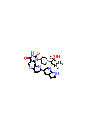 C=C(N1CCC(n2c(=O)[nH]c(=O)c3cnc4ccc(-c5cnc6[nH]ccc6c5)nc4c32)CC1)C(C)(C)O